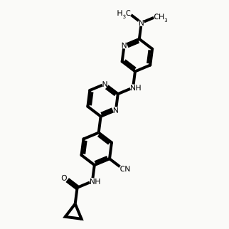 CN(C)c1ccc(Nc2nccc(-c3ccc(NC(=O)C4CC4)c(C#N)c3)n2)cn1